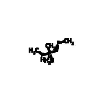 B[PH](C)(C=PC)PC